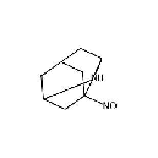 O=NC12CC3CC(CC(C3)N1)C2